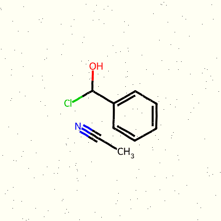 CC#N.OC(Cl)c1ccccc1